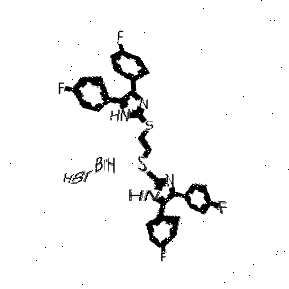 Br.Br.Fc1ccc(-c2nc(SCCSc3nc(-c4ccc(F)cc4)c(-c4ccc(F)cc4)[nH]3)[nH]c2-c2ccc(F)cc2)cc1